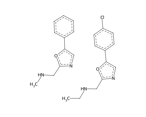 CCNCc1ncc(-c2ccc(Cl)cc2)o1.CNCc1ncc(-c2ccccc2)o1